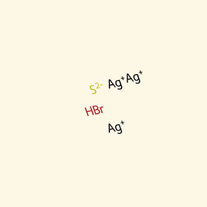 Br.[Ag+].[Ag+].[Ag+].[S-2]